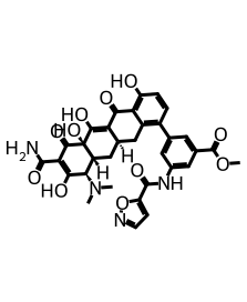 COC(=O)c1cc(NC(=O)c2ccno2)cc(-c2ccc(O)c3c2C[C@H]2C[C@@H]4[C@@H](N(C)C)C(O)=C(C(N)=O)C(=O)[C@]4(O)C(O)=C2C3=O)c1